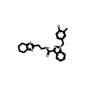 Cc1cc(Cn2nc(C(=O)NCCc3nc4c(s3)CCCC4)c3ccccc32)ccc1Cl